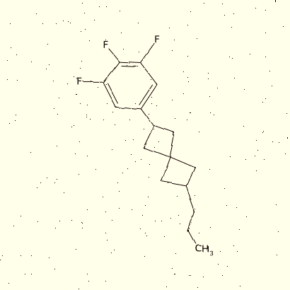 CCCC1CC2(C1)CC(c1cc(F)c(F)c(F)c1)C2